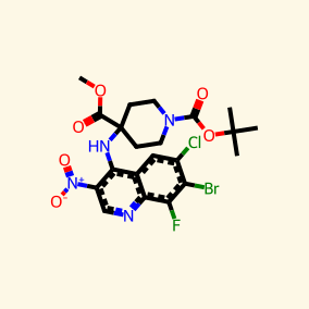 COC(=O)C1(Nc2c([N+](=O)[O-])cnc3c(F)c(Br)c(Cl)cc23)CCN(C(=O)OC(C)(C)C)CC1